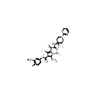 Cc1cc(NC(=O)c2c(C)c(C(=O)C(=O)NC3(C)CCN(c4ncccn4)CC3)n(C)c2C)ccc1F